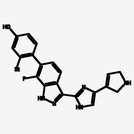 CCc1cc(O)ccc1-c1ccc2c(-c3nc(C4=CCNC4)c[nH]3)n[nH]c2c1F